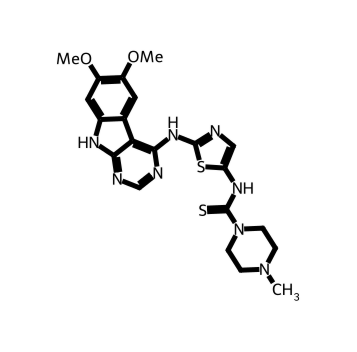 COc1cc2[nH]c3ncnc(Nc4ncc(NC(=S)N5CCN(C)CC5)s4)c3c2cc1OC